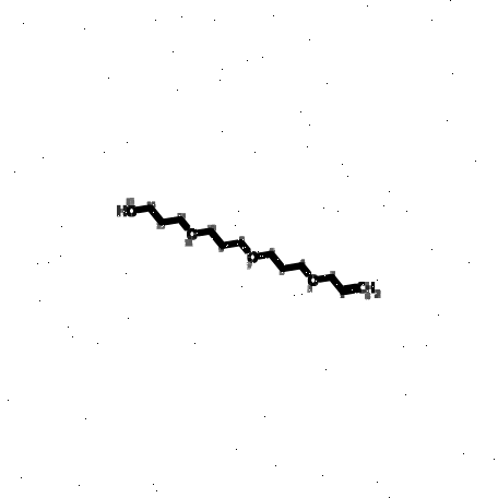 C=CCOCCCOCCCOCCCO